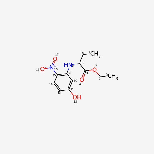 CCOC(=O)C(CC)Nc1cc(O)ccc1[N+](=O)[O-]